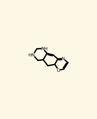 C1=COC2CC3CNCNC3=CC2=N1